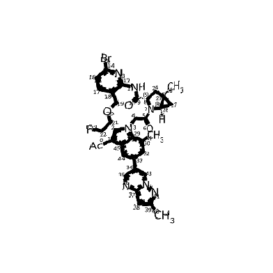 CC(=O)c1cn(CC(=O)N2[C@H](C(=O)Nc3nc(Br)ccc3COCCF)C[C@@]3(C)C[C@@H]23)c2c(C)cc(-c3cnc4cc(C)nn4c3)cc12